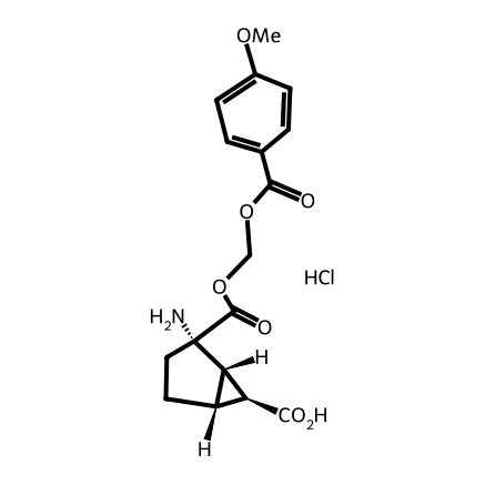 COc1ccc(C(=O)OCOC(=O)[C@]2(N)CC[C@H]3[C@H](C(=O)O)[C@H]32)cc1.Cl